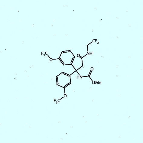 COC(=O)NC(CC(=O)NCC(F)(F)F)(c1cccc(OC(F)(F)F)c1)c1cccc(OC(F)(F)F)c1